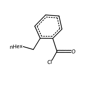 CCCCCCCc1ccccc1C(=O)Cl